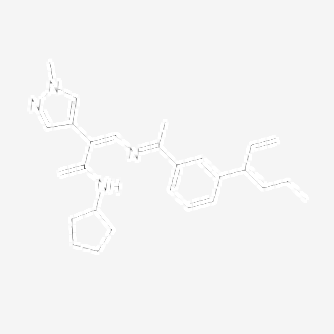 C=C/C(=C\CC)c1cccc(/C(C)=N/C=C(\C(=C)NC2CCCC2)c2cnn(C)c2)c1